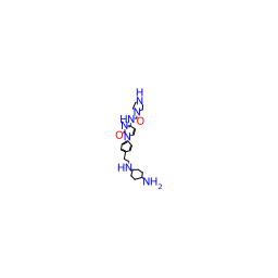 N[C@H]1CC[C@@H](NCCc2ccc(-n3ccc(NC(=O)N4CCNCC4)nc3=O)cc2)CC1